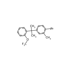 Cc1cc(C(C)(C)c2ccccc2OC(F)(F)F)ccc1C(C)C